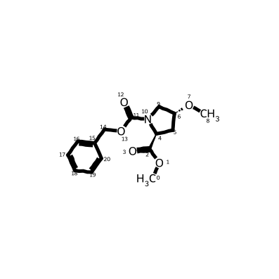 COC(=O)[C@@H]1C[C@@H](OC)CN1C(=O)OCc1ccccc1